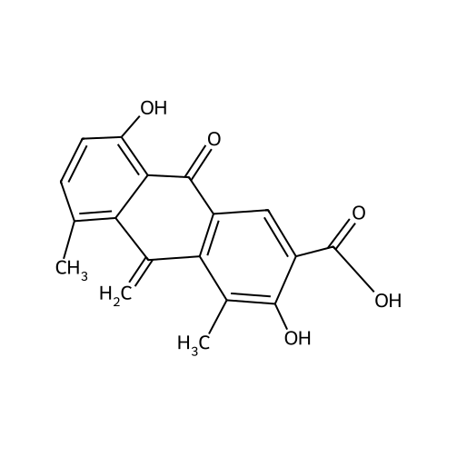 C=C1c2c(cc(C(=O)O)c(O)c2C)C(=O)c2c(O)ccc(C)c21